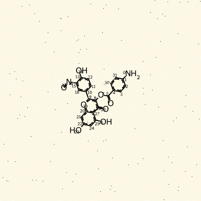 Nc1ccc(C(=O)Oc2c(-c3ccc(O)c(N=O)c3)oc3cc(O)cc(O)c3c2=O)cc1